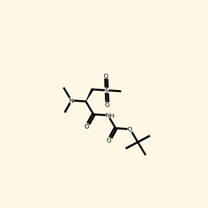 CN(C)[C@@H](CS(C)(=O)=O)C(=O)NC(=O)OC(C)(C)C